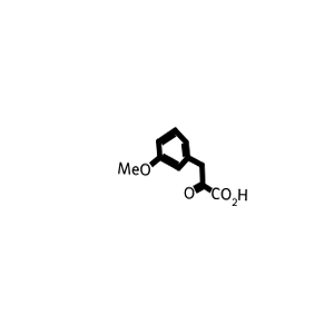 COc1cccc(CC(=O)C(=O)O)c1